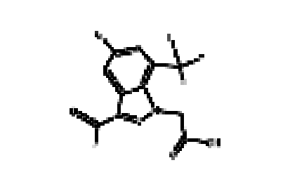 CC(=O)c1nn(CC(=O)O)c2c(C(F)(F)F)cc(Br)cc12